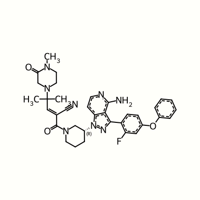 CN1CCN(C(C)(C)C=C(C#N)C(=O)N2CCC[C@@H](n3nc(-c4ccc(Oc5ccccc5)cc4F)c4c(N)nccc43)C2)CC1=O